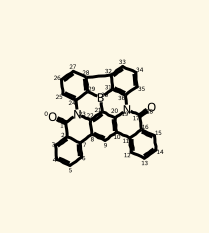 O=c1c2ccccc2c2cc3c4ccccc4c(=O)n4c3c3c2n1-c1cccc2c1B3c1c-2cccc1-4